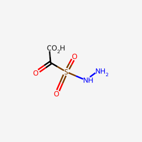 NNS(=O)(=O)C(=O)C(=O)O